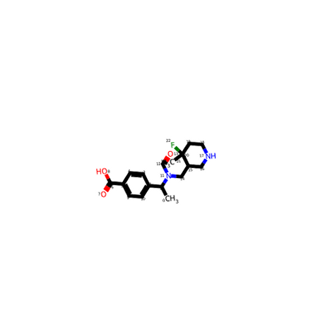 CC(c1ccc(C(=O)O)cc1)N(C=O)CC1CNCCC1(C)F